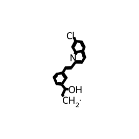 [CH2]CC(O)c1cccc(C=Cc2ccc3ccc(Cl)cc3n2)c1